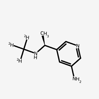 [2H]C([2H])([2H])N[C@@H](C)c1cncc(N)c1